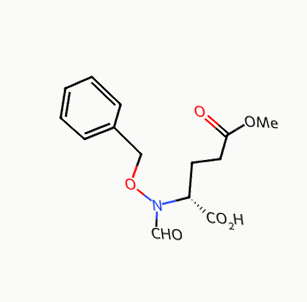 COC(=O)CC[C@H](C(=O)O)N(C=O)OCc1ccccc1